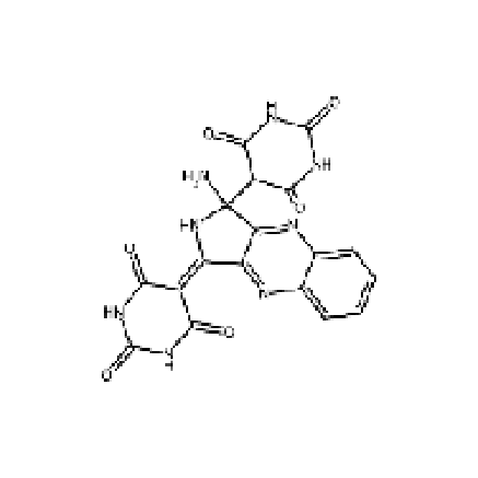 NC1(C2C(=O)NC(=O)NC2=O)NC(=C2C(=O)NC(=O)NC2=O)c2nc3ccccc3nc21